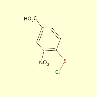 O=C(O)c1ccc(SCl)c([N+](=O)[O-])c1